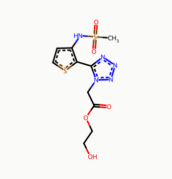 CS(=O)(=O)Nc1ccsc1-c1nnnn1CC(=O)OCCO